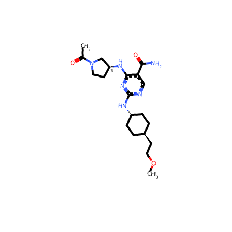 COCC[C@H]1CC[C@H](Nc2ncc(C(N)=O)c(N[C@H]3CCN(C(C)=O)C3)n2)CC1